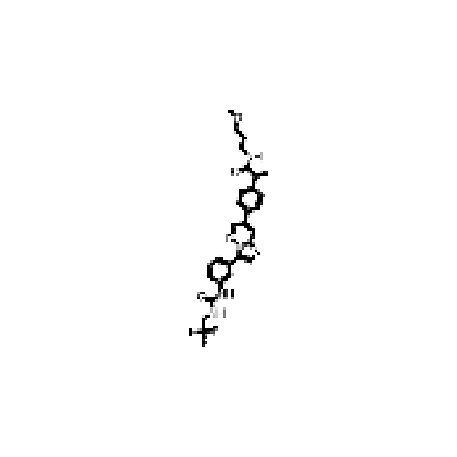 COCCCNC(=O)C(C)c1ccc(-c2cnn3c(-c4cccc(NC(=O)NCC(F)(F)F)c4)cnc3c2)cc1